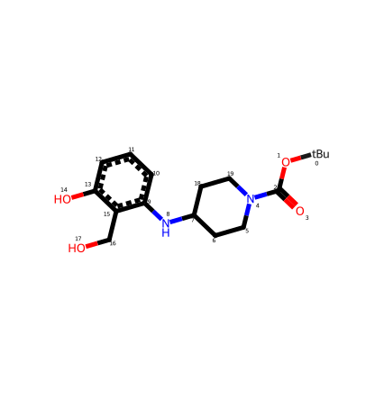 CC(C)(C)OC(=O)N1CCC(Nc2cccc(O)c2CO)CC1